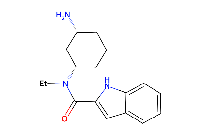 CCN(C(=O)c1cc2ccccc2[nH]1)[C@H]1CCC[C@@H](N)C1